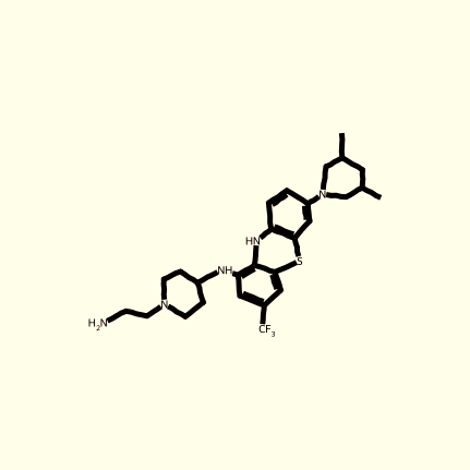 CC1CC(C)CN(c2ccc3c(c2)Sc2cc(C(F)(F)F)cc(NC4CCN(CCN)CC4)c2N3)C1